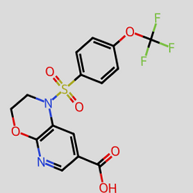 O=C(O)c1cnc2c(c1)N(S(=O)(=O)c1ccc(OC(F)(F)F)cc1)CCO2